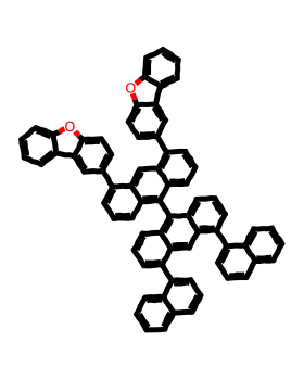 c1ccc2c(-c3cccc4c(-c5c6cccc(-c7ccc8oc9ccccc9c8c7)c6cc6c(-c7ccc8oc9ccccc9c8c7)cccc56)c5cccc(-c6cccc7ccccc67)c5cc34)cccc2c1